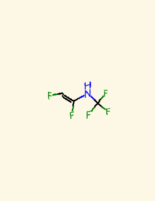 F/C=C(\F)NC(F)(F)F